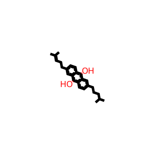 CC(C)=CCCc1ccc2c(O)c3cc(CCCC(C)C)ccc3c(O)c2c1